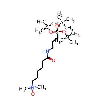 C[N+](C)([O-])CCCCCC(=O)NCCC[Si](O[Si](C)(C)C)(O[Si](C)(C)C)O[Si](C)(C)C